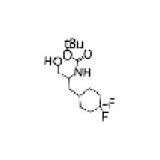 CC(C)(C)OC(=O)NC(CO)CC1CCC(F)(F)CC1